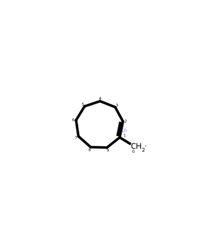 [CH2]/C1=C/CCCCCCC1